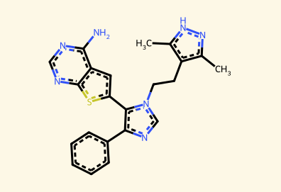 Cc1n[nH]c(C)c1CCn1cnc(-c2ccccc2)c1-c1cc2c(N)ncnc2s1